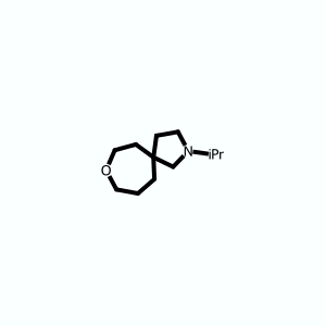 CC(C)N1CCC2(CCCOCC2)C1